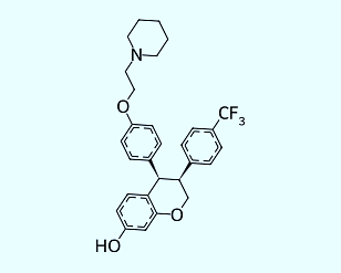 Oc1ccc2c(c1)OC[C@H](c1ccc(C(F)(F)F)cc1)[C@@H]2c1ccc(OCCN2CCCCC2)cc1